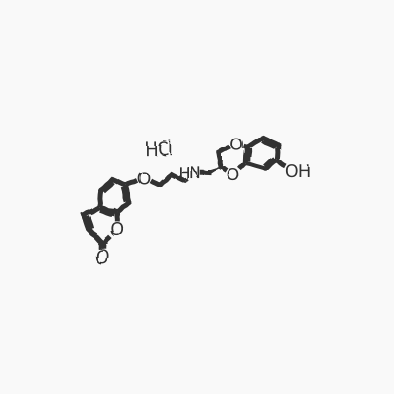 Cl.O=c1ccc2ccc(OCCCNC[C@H]3COc4ccc(O)cc4O3)cc2o1